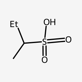 CCC(C)S(=O)(=O)O